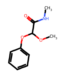 CNC(=O)C(OC)Oc1ccccc1